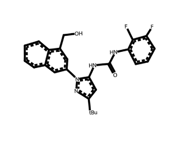 CC(C)(C)c1cc(NC(=O)Nc2cccc(F)c2F)n(-c2cc(CO)c3ccccc3c2)n1